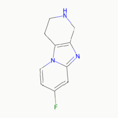 Fc1ccn2c3c(nc2c1)CNCC3